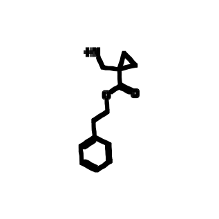 [NH]CC1(C(=O)OCCc2ccccc2)CC1